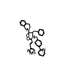 O=C(C(Cc1ccccc1)N(Cc1ccc(-c2ccccn2)cc1)C(=O)C=Cc1csnn1)N1CCc2ccccc2C1